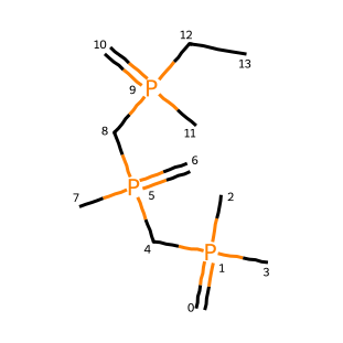 C=P(C)(C)CP(=C)(C)CP(=C)(C)CC